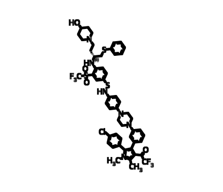 Cc1c(C(=O)C(F)(F)F)c(-c2cccc(N3CCN(c4ccc(NSc5ccc(N[C@H](CCN6CCC(O)CC6)CSc6ccccc6)c(S(=O)(=O)C(F)(F)F)c5)cc4)CC3)c2)c(-c2ccc(Cl)cc2)n1C